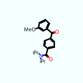 COc1cccc(C(=O)c2ccc(C(=O)N(C(C)C)C(C)C)cc2)c1